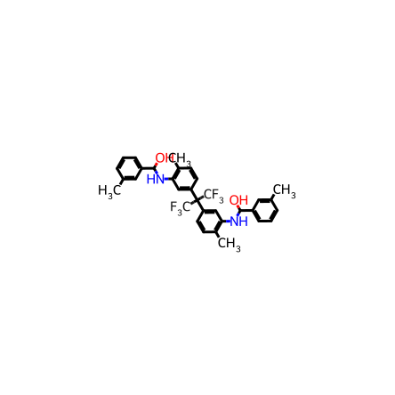 Cc1cccc(C(O)Nc2cc(C(c3ccc(C)c(NC(O)c4cccc(C)c4)c3)(C(F)(F)F)C(F)(F)F)ccc2C)c1